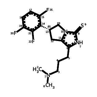 CN(C)CCCc1[nH]c(=S)n2c1C[C@H](c1c(F)ccc(F)c1F)C2